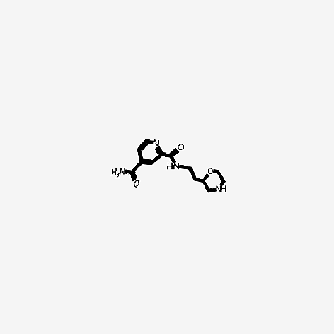 NC(=O)c1ccnc(C(=O)NCCC2CNCCO2)c1